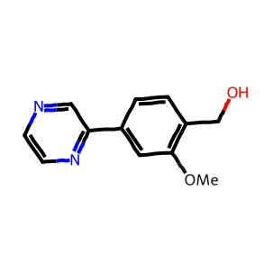 COc1cc(-c2cnccn2)ccc1CO